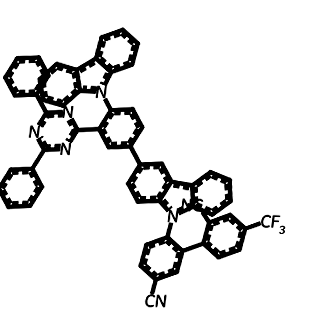 N#Cc1ccc(-n2c3ccccc3c3cc(-c4ccc(-n5c6ccccc6c6ccccc65)c(-c5nc(-c6ccccc6)nc(-c6ccccc6)n5)c4)ccc32)c(-c2ccc(C(F)(F)F)cc2C#N)c1